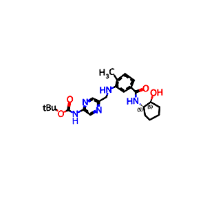 Cc1ccc(C(=O)N[C@H]2CCCC[C@@H]2O)cc1NCc1cnc(NC(=O)OC(C)(C)C)cn1